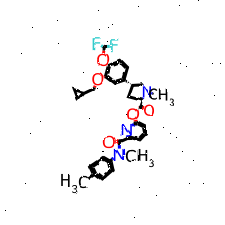 Cc1ccc(N(C)C(=O)c2cccc(OC(=O)[C@H]3C[C@H](c4ccc(OC(F)F)c(OCC5CC5)c4)CN3C)n2)cc1